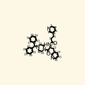 O=C(CCc1cccnc1)NC(Cc1cccnc1)C(=O)N1CCN(C(c2ccccc2)c2ccccc2)CC1